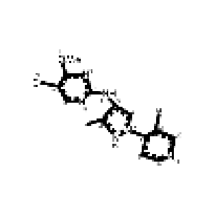 COc1nc(Nc2cn(-c3ccncc3C)nc2C)ncc1Cl